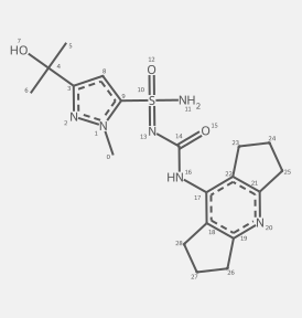 Cn1nc(C(C)(C)O)cc1S(N)(=O)=NC(=O)Nc1c2c(nc3c1CCC3)CCC2